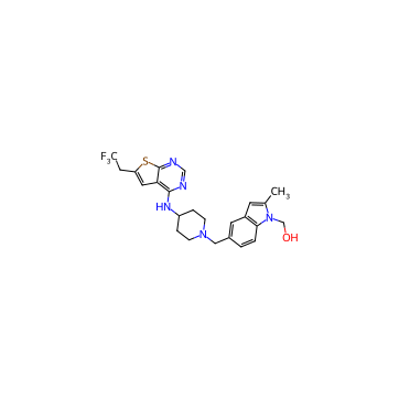 Cc1cc2cc(CN3CCC(Nc4ncnc5sc(CC(F)(F)F)cc45)CC3)ccc2n1CO